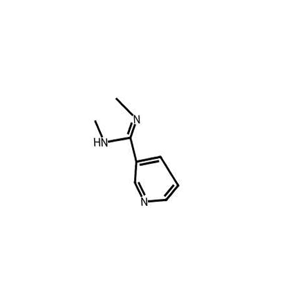 C/N=C(\NC)c1cccnc1